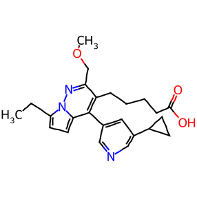 CCc1ccc2c(-c3cncc(C4CC4)c3)c(CCCCC(=O)O)c(COC)nn12